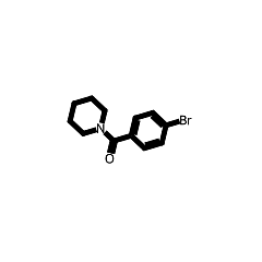 O=C(c1ccc(Br)cc1)N1CCCCC1